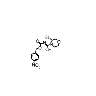 C[CH]C1COCCN1C(C)=NC(=O)OCc1ccc([N+](=O)[O-])cc1